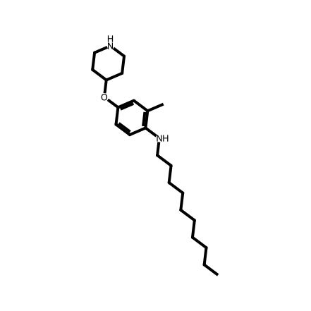 CCCCCCCCCCNc1ccc(OC2CCNCC2)cc1C